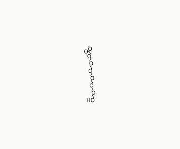 COC(COCCOCCOCCOCCOCCOCCO)OC